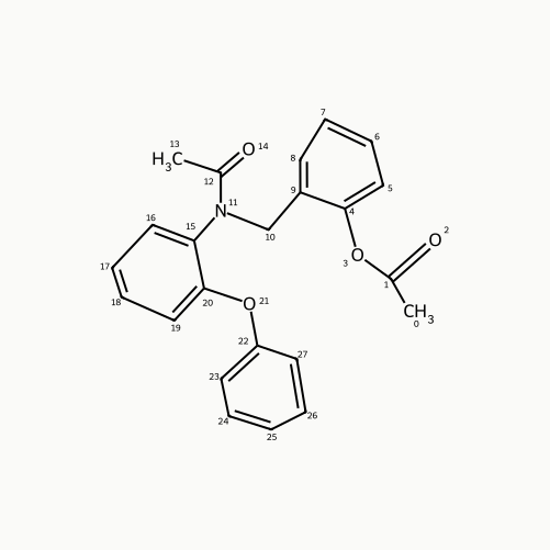 CC(=O)Oc1ccccc1CN(C(C)=O)c1ccccc1Oc1ccccc1